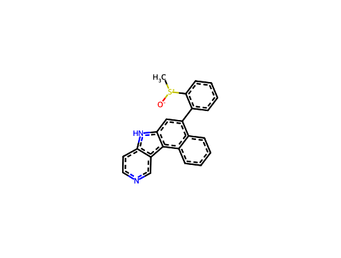 C[S+]([O-])c1ccccc1-c1cc2[nH]c3ccncc3c2c2ccccc12